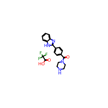 O=C(O)C(F)(F)F.O=C(c1ccc(-c2nc3ccccc3[nH]2)cc1)N1CCNCC1